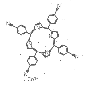 N#Cc1ccc(-c2c3nc(c(-c4ccc(C#N)cc4)c4ccc([nH]4)c(-c4ccc(C#N)cc4)c4nc(c(-c5ccc(C#N)cc5)c5ccc2[nH]5)C=C4)C=C3)cc1.[Co+2]